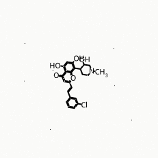 CN1CCC(c2c(O)cc(O)c3c(=O)cc(C=Cc4cccc(Cl)c4)oc23)C(O)C1